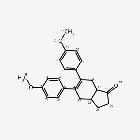 COc1ccc(C2=C(c3ccc(OC)cc3)CC3C(=O)CCC3C2)cc1